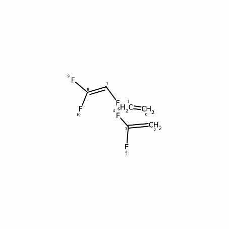 C=C.C=C(F)F.FC=C(F)F